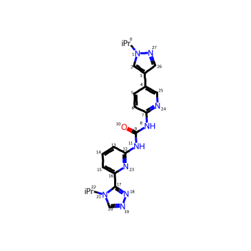 CC(C)n1cc(-c2ccc(NC(=O)Nc3cccc(-c4nncn4C(C)C)n3)nc2)cn1